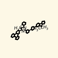 C=C1C(c2ccccc2)=NC(c2cccc(-c3ccc(-c4ccc5c(c4)C(C)(C)c4ccccc4-5)cc3)c2)=NC1c1ccc2c3ccccc3c3ccccc3c2c1